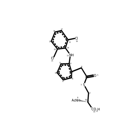 CC(=O)N[C@H](CSC(=O)Cc1ccccc1Nc1c(Cl)cccc1Cl)C(=O)O